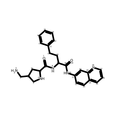 NCC1CNC(C(=O)NC(CCc2ccccc2)C(=O)Nc2ccc3cccnc3c2)C1